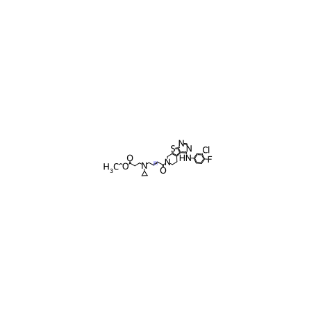 CCOC(=O)CCN(C/C=C/C(=O)N1CCc2c(sc3ncnc(Nc4ccc(F)c(Cl)c4)c23)C1)C1CC1